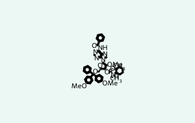 COc1ccc(C(OC[C@H]2O[C@@H](n3cnc4c(NC(=O)c5ccccc5)ncnc43)[C@H](OC)[C@@H]2OP2O[C@@]3(C)CCCC[C@@H]3N2C)(c2ccccc2)c2ccc(OC)cc2)cc1